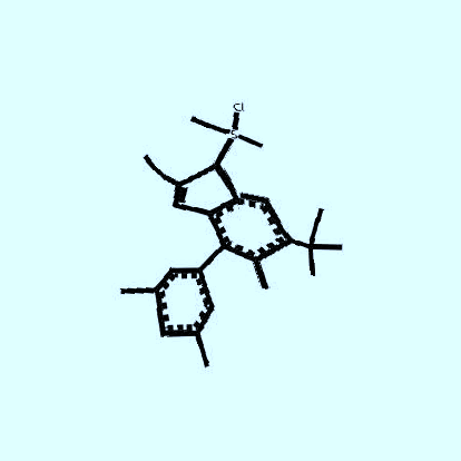 CC1=Cc2c(cc(C(C)(C)C)c(C)c2-c2cc(C)cc(C)c2)C1S(C)(C)Cl